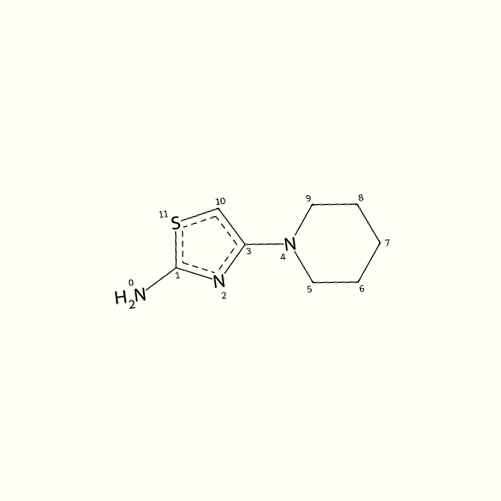 Nc1nc(N2CCCCC2)cs1